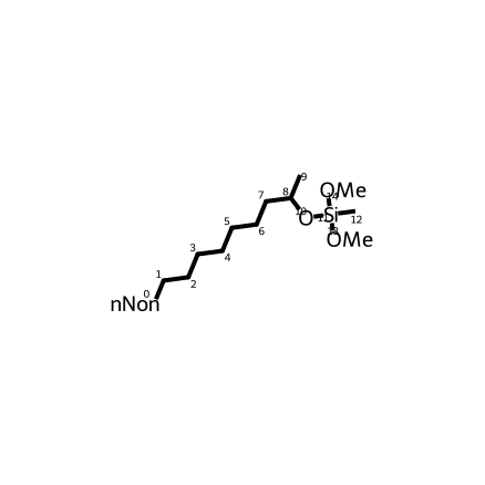 CCCCCCCCCCCCCCCCC(C)O[Si](C)(OC)OC